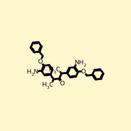 CC(C(=O)C(C)c1ccc(OCc2ccccc2)c(N)c1)c1ccc(OCc2ccccc2)c(N)c1